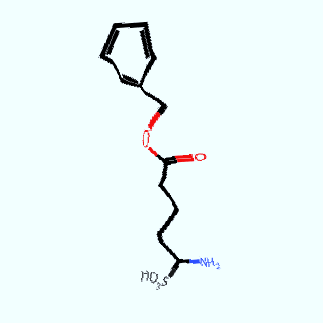 NC(CCCC(=O)OCc1ccccc1)S(=O)(=O)O